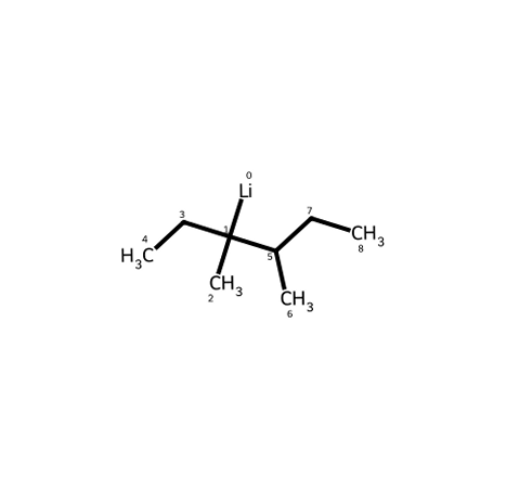 [Li][C](C)(CC)C(C)CC